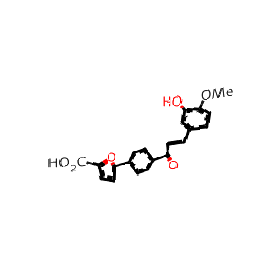 COc1ccc(C=CC(=O)c2ccc(-c3ccc(C(=O)O)o3)cc2)cc1O